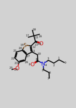 CCCCN(CCC)C(=O)Cc1c(C(=O)C(C)(C)C)sc2ccc(OC)cc12